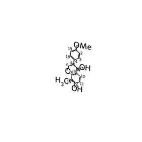 COc1ccc([C@@H]2COc3c(ccc(O)c3C)[C@H]2O)cc1